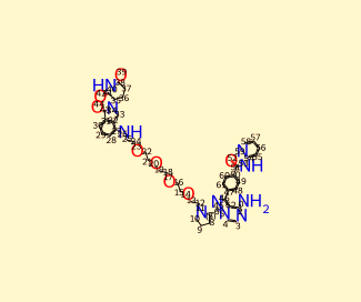 Nc1nccn2c([C@@H]3CCCN3CCOCCOCCOCCOCCNc3cccc4c3CN(C3CCC(=O)NC3=O)C4=O)nc(-c3ccc(C(=O)Nc4ccccn4)cc3)c12